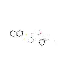 COC(=O)c1ccccc1N(C)C(=O)CN(C)C(=O)[C@@H]1C[C@@H](S)CN1S(=O)(=O)c1ccc2ccccc2c1